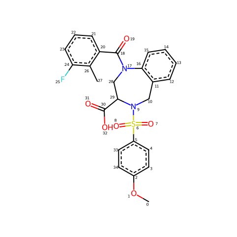 COc1ccc(S(=O)(=O)N2Cc3ccccc3N(C(=O)c3cccc(F)c3C)CC2C(=O)O)cc1